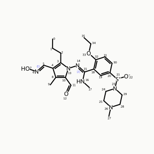 CCCc1c(/C=N/O)c(C)c(C=O)n1/N=C(\NC)c1cc([S+]([O-])N2CCN(C)CC2)ccc1OCC